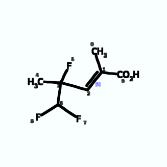 C/C(=C\C(C)(F)C(F)F)C(=O)O